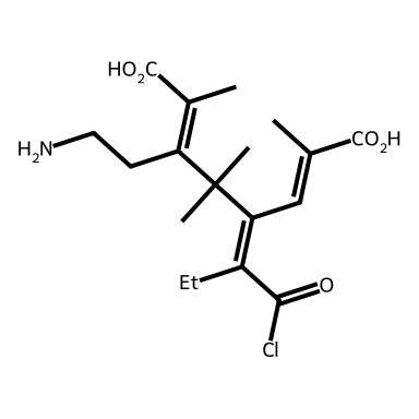 CCC(C(=O)Cl)=C(C=C(C)C(=O)O)C(C)(C)C(CCN)=C(C)C(=O)O